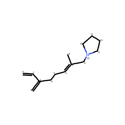 C=CC(=C)CC/C=C(\C)CN1CCCC1